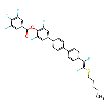 CCCCCS/C(F)=C(\F)c1ccc(-c2ccc(-c3cc(F)c(OC(=O)c4cc(F)c(F)c(F)c4)c(F)c3)cc2)cc1